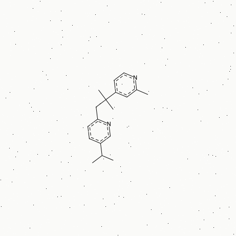 Cc1cc(C(C)(C)Cc2ccc(C(C)C)cn2)ccn1